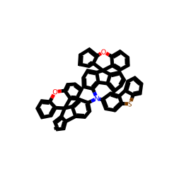 c1ccc2c(c1)Oc1ccccc1C21c2ccccc2-c2ccc(N(c3ccc4sc5ccccc5c4c3)c3cccc4c3-c3ccccc3C43c4ccccc4Oc4ccccc43)cc21